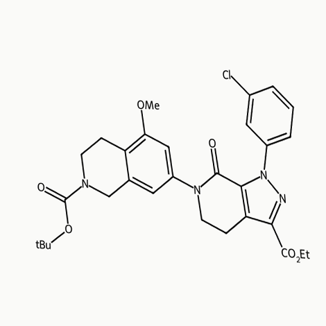 CCOC(=O)c1nn(-c2cccc(Cl)c2)c2c1CCN(c1cc3c(c(OC)c1)CCN(C(=O)OC(C)(C)C)C3)C2=O